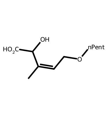 CCCCCOCC=C(C)C(O)C(=O)O